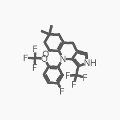 CC1(C)CC(=O)C2=C(Cc3c[nH]c(C(F)(F)F)c3N2c2cc(F)ccc2OC(F)(F)F)C1